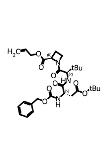 C=CCOC(=O)[C@H]1CCN1C(=O)[C@H](NC(=O)[C@H](CC(=O)OC(C)(C)C)NC(=O)OCc1ccccc1)C(C)(C)C